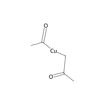 CC(=O)[CH2][Cu][C](C)=O